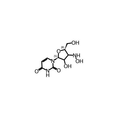 O=c1ccn([C@H]2O[C@@H](CO)C(NO)C2O)c(=O)[nH]1